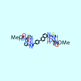 COC(=O)N[C@H](C(=O)N1CCS[C@@H]1c1nc2ccc3cc(-c4ccc(-c5cnc([C@@H]6CCCN6C(=O)[C@@H](NC(=O)OC)C(C)C)[nH]5)cc4)ccc3c2[nH]1)C(C)C